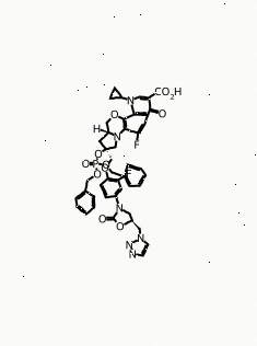 O=C(O)c1cn(C2CC2)c2c3c(c(F)cc2c1=O)N1C[C@@](COc2ccc(N4C[C@@H](Cn5ccnn5)OC4=O)cc2F)(OP(=O)(OCc2ccccc2)OCc2ccccc2)C[C@@H]1CO3